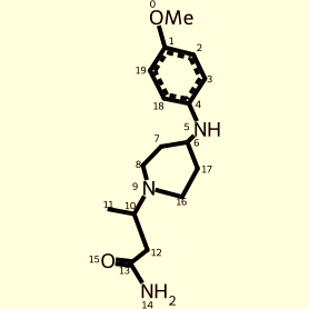 COc1ccc(NC2CCN(C(C)CC(N)=O)CC2)cc1